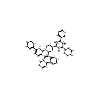 C1=CCCC(C2NC(C3=CCC(C4C=CC=C(C5=CCCCC5)N4)C(C4=CC5CCC=CC5c5ccccc54)C3)NC(C3CCCCC3)N2)=C1